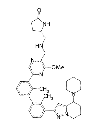 COc1nc(-c2cccc(-c3cccc(-c4cc5n(n4)CCCC5N4CCCCC4)c3C)c2C)cnc1CNC[C@@H]1CCC(=O)N1